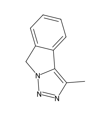 Cc1nnn2c1-c1ccccc1C2